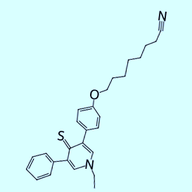 CCn1cc(-c2ccccc2)c(=S)c(-c2ccc(OCCCCCCCC#N)cc2)c1